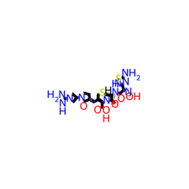 N=C(N)N1CC(N2CC/C(=C\C3=C(C(=O)O)N4C(=O)[C@@H](NC(=O)/C(=N\O)c5nsc(N)n5)[C@H]4SC3)C2=O)C1